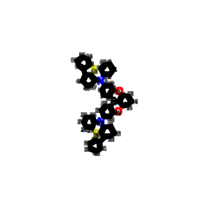 c1ccc(N(c2ccc3c(c2)Oc2cccc4c2B3c2ccc(N(c3ccccc3)c3cccc5c3sc3ccccc35)cc2O4)c2cccc3c2sc2ccccc23)cc1